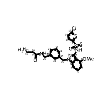 COc1cccc2c1c(NS(=O)(=S)c1ccc(Cl)s1)nn2Cc1cccc(CNC(=O)CCN)c1